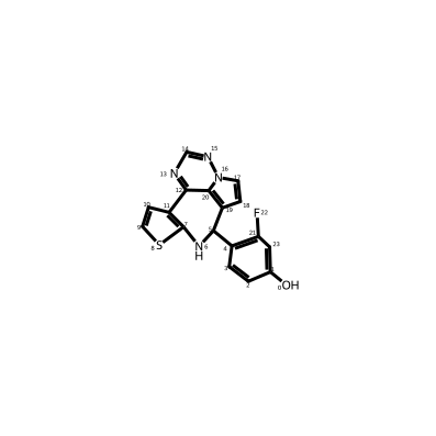 Oc1ccc(C2Nc3sccc3-c3ncnn4ccc2c34)c(F)c1